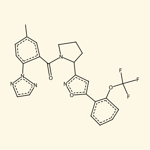 Cc1ccc(-n2nccn2)c(C(=O)N2CCCC2c2cc(-c3ccccc3OC(F)(F)F)on2)c1